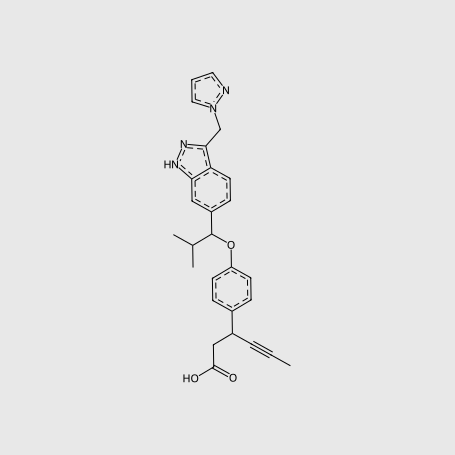 CC#CC(CC(=O)O)c1ccc(OC(c2ccc3c(Cn4cccn4)n[nH]c3c2)C(C)C)cc1